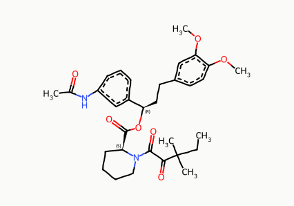 CCC(C)(C)C(=O)C(=O)N1CCCC[C@H]1C(=O)O[C@H](CCc1ccc(OC)c(OC)c1)c1cccc(NC(C)=O)c1